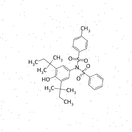 CCC(C)(C)c1cc(N(S(=O)(=O)c2ccccc2)S(=O)(=O)c2ccc(C)cc2)cc(C(C)(C)CC)c1O